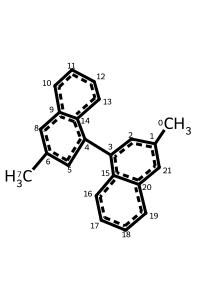 Cc1cc(-c2cc(C)cc3ccccc23)c2ccccc2c1